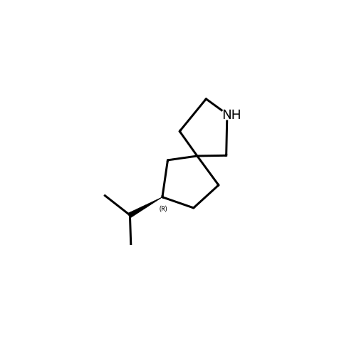 CC(C)[C@@H]1CCC2(CCNC2)C1